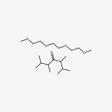 CC(C)C(C)C(=O)C(C)C(C)C.COCCOCCOCCOC